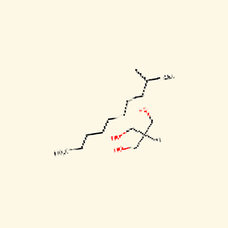 CCC(CO)(CO)CO.CCCCCCCCC(C)CCCCCCCC(=O)O